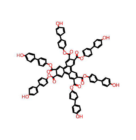 O=C(Oc1ccc(-c2ccc(O)cc2)cc1)c1cc2c3cc(C(=O)Oc4ccc(-c5ccc(O)cc5)cc4)c(C(=O)Oc4ccc(-c5ccc(O)cc5)cc4)cc3c3cc(C(=O)Oc4ccc(-c5ccc(O)cc5)cc4)c(C(=O)Oc4ccc(-c5ccc(O)cc5)cc4)cc3c2cc1C(=O)Oc1ccc(-c2ccc(O)cc2)cc1